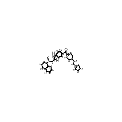 CN(Cc1nc2cc(C(=O)N3CCC(CCN4CCCC4)CC3)ccc2[nH]1)C1CCCc2cccnc21